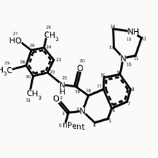 CCCCCC(=O)N1CCc2ccc(N3CCNCC3)cc2C1C(=O)Nc1cc(C)c(O)c(C)c1C